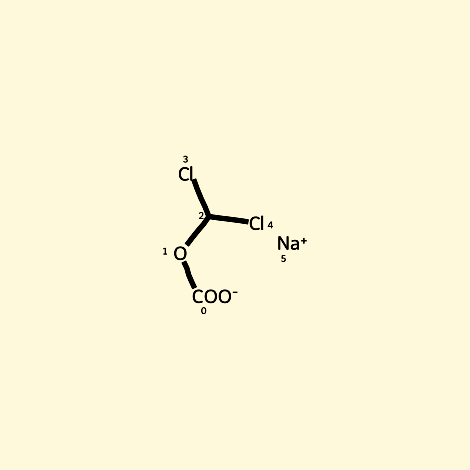 O=C([O-])OC(Cl)Cl.[Na+]